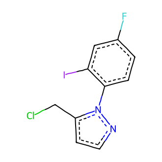 Fc1ccc(-n2nccc2CCl)c(I)c1